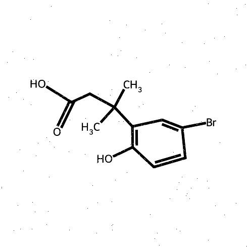 CC(C)(CC(=O)O)c1cc(Br)ccc1O